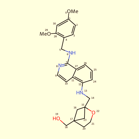 COc1ccc(CNc2nccc3c(NCC45CC(CO)(CCO4)C5)cccc23)c(OC)c1